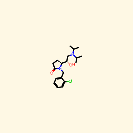 CC(C)N(C[C@H](O)[C@@H]1CCC(=O)N1Cc1ccccc1Cl)C(C)C